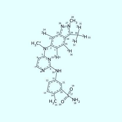 [2H]c1c(N(C)c2ccnc(Nc3ccc(C)c(S(N)(=O)=O)c3)n2)c([2H])c2nn(C)c(C([2H])([2H])[2H])c2c1[2H]